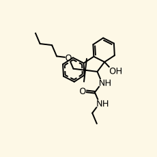 CCCCOCC(C)(C)C(NC(=O)NCC)C1(O)CC=CC=C1c1ccccc1